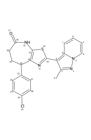 Cc1nn2ccccc2c1-c1nc2c(s1)NC(=O)CCC2c1ccc(Cl)cc1